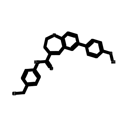 CCOc1ccc(-c2ccc3c(c2)C=C(C(=O)Nc2ccc(CCl)cc2)CCO3)cc1